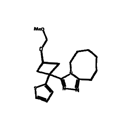 COCOC1CC(c2cccs2)(c2nnc3n2CCCCCC3)C1